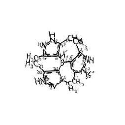 Cc1n[nH]c(C)c1[BH-](c1c(C)n[nH]c1C)c1c(C)n[nH]c1C.[K+]